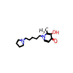 Cc1c(O)c(=O)ccn1CCCCCN1CCCC1